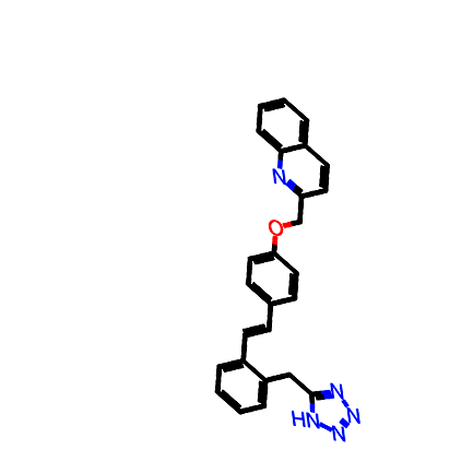 C(=Cc1ccccc1Cc1nnn[nH]1)c1ccc(OCc2ccc3ccccc3n2)cc1